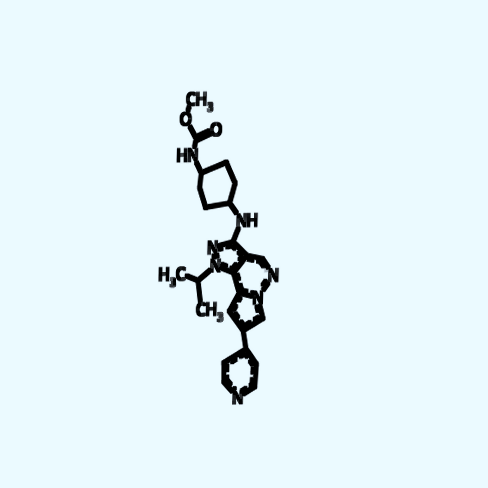 COC(=O)NC1CCC(Nc2nn(C(C)C)c3c2cnn2cc(-c4ccncc4)cc32)CC1